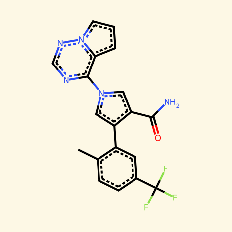 Cc1ccc(C(F)(F)F)cc1-c1cn(-c2ncnn3cccc23)cc1C(N)=O